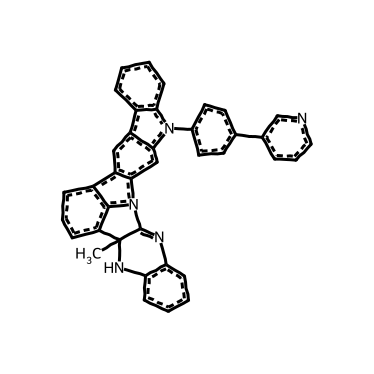 CC12Nc3ccccc3N=C1n1c3cc4c(cc3c3cccc2c31)c1ccccc1n4-c1ccc(-c2cccnc2)cc1